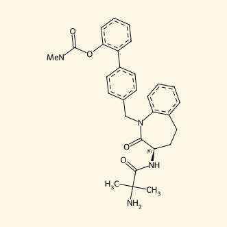 CNC(=O)Oc1ccccc1-c1ccc(CN2C(=O)[C@H](NC(=O)C(C)(C)N)CCc3ccccc32)cc1